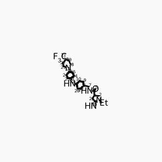 CCN1CC(C(=O)NCc2ccc(Nc3ccc(N4CCC(C(F)(F)F)CC4)cc3)cc2)CC1=N